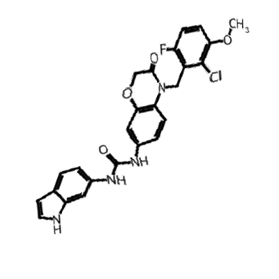 COc1ccc(F)c(CN2C(=O)COc3cc(NC(=O)Nc4ccc5cc[nH]c5c4)ccc32)c1Cl